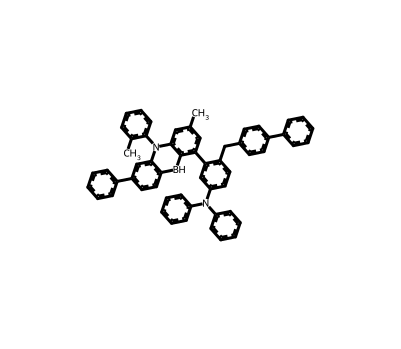 Cc1cc(-c2cc(N(c3ccccc3)c3ccccc3)ccc2Cc2ccc(-c3ccccc3)cc2)c2c(c1)N(c1ccccc1C)c1cc(-c3ccccc3)ccc1B2